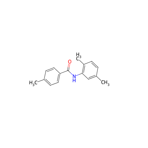 Cc1ccc(C(=O)Nc2cc(C)ccc2C)cc1